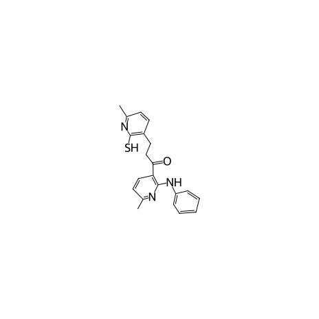 Cc1ccc(CCC(=O)c2ccc(C)nc2Nc2ccccc2)c(S)n1